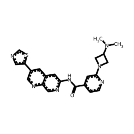 CN(C)C1CN(c2cc(C(=O)Nc3cc4cc(-c5cncs5)cnc4cn3)ccn2)C1